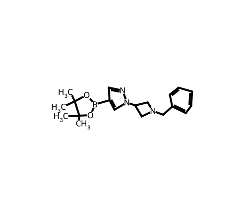 CC1(C)OB(c2cnn(C3CN(Cc4ccccc4)C3)c2)OC1(C)C